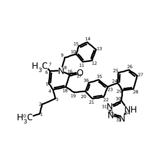 CCCCc1cc(C)n(Cc2ccccc2)c(=O)c1Cc1ccc(-c2ccccc2-c2nnn[nH]2)cc1